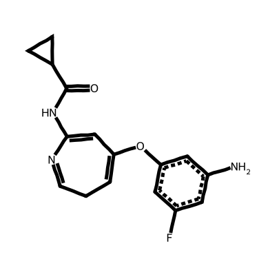 Nc1cc(F)cc(OC2=CCC=NC(NC(=O)C3CC3)=C2)c1